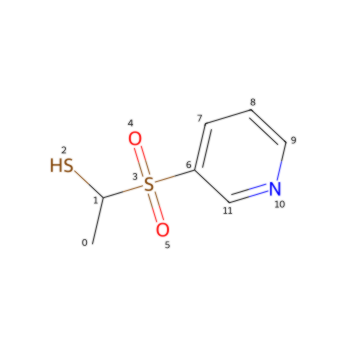 CC(S)S(=O)(=O)c1cccnc1